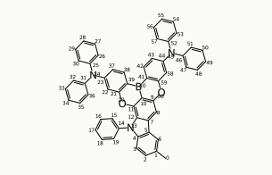 Cc1ccc2c(c1)c1cc3c4c(c1n2-c1ccccc1)Oc1cc(N(c2ccccc2)c2ccccc2)ccc1B4c1ccc(N(c2ccccc2)c2ccccc2)cc1O3